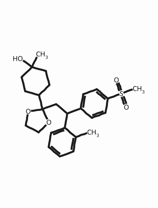 Cc1ccccc1C(CC1(C2CCC(C)(O)CC2)OCCO1)c1ccc(S(C)(=O)=O)cc1